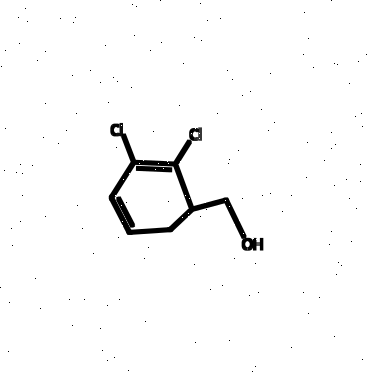 OCC1CC=CC(Cl)=C1Cl